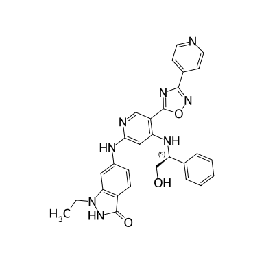 CCn1[nH]c(=O)c2ccc(Nc3cc(N[C@H](CO)c4ccccc4)c(-c4nc(-c5ccncc5)no4)cn3)cc21